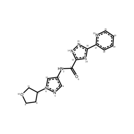 O=C(Nc1cnn(C2CCOC2)c1)c1nnc(-c2ccccn2)s1